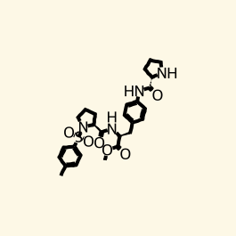 COC(=O)[C@H](Cc1ccc(NC(=O)[C@@H]2CCCN2)cc1)NC(=O)[C@@H]1CCCN1S(=O)(=O)c1ccc(C)cc1